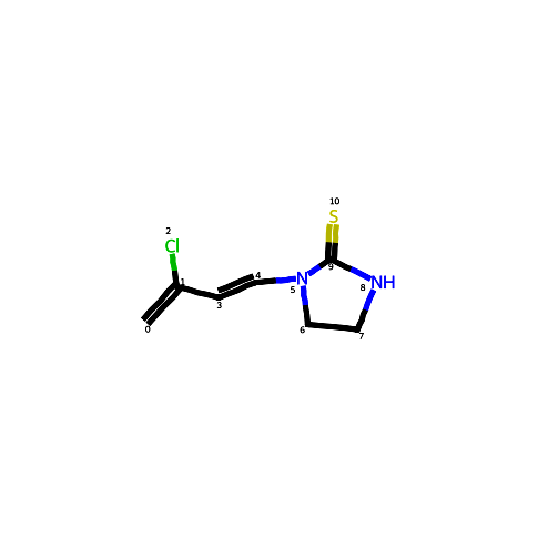 C=C(Cl)C=CN1CCNC1=S